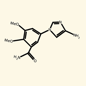 COc1cc(-n2cnc(N)c2)cc(C(N)=O)c1OC